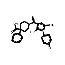 Cc1cc(C(=O)N2CCC(C(=O)O)(c3ccccc3)CC2)c(C)n1-c1ccc(Cl)cc1